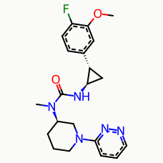 COc1cc([C@@H]2C[C@H]2NC(=O)N(C)[C@@H]2CCCN(c3cccnn3)C2)ccc1F